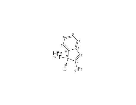 CC(C)C1=Cc2ccccc2C1(F)F.[Hf]